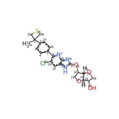 CC1(c2ccc(-c3nc4nc(OC5CO[C@@H]6C(O)CO[C@H]56)[nH]c4cc3Cl)cc2)CSC1